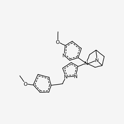 COc1ccc(Cn2ccc(N3CC4CC(C3)N4Cc3ccc(OC)nc3)n2)cc1